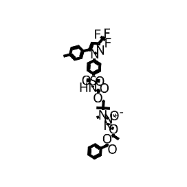 Cc1ccc(-c2cc(C(F)(F)F)nn2-c2ccc(S(=O)(=O)NC(=O)OCC(C)(C)N(C)/[N+]([O-])=N/OC(C)OC(=O)c3ccccc3)cc2)cc1